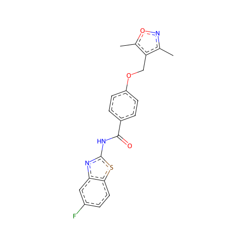 Cc1noc(C)c1COc1ccc(C(=O)Nc2nc3cc(F)ccc3s2)cc1